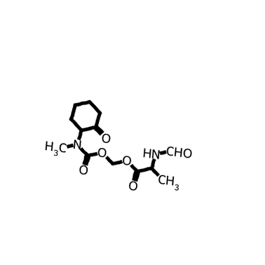 CC(NC=O)C(=O)OCOC(=O)N(C)C1CCCCC1=O